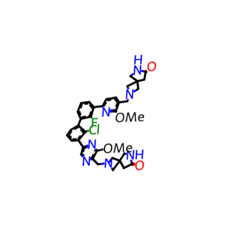 COc1nc(-c2cccc(-c3cccc(-c4cnc(CN5CC6(CNC(=O)C6)C5)c(OC)n4)c3Cl)c2F)ccc1CN1CC2(CNC(=O)C2)C1